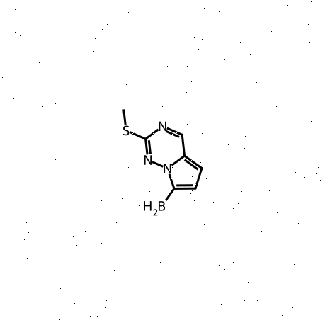 Bc1ccc2cnc(SC)nn12